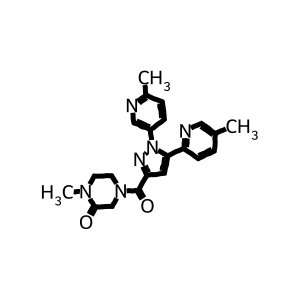 Cc1ccc(-c2cc(C(=O)N3CCN(C)C(=O)C3)nn2-c2ccc(C)nc2)nc1